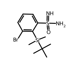 CC(C)(C)[Si](C)(C)c1c(Br)cccc1S(=N)(N)=O